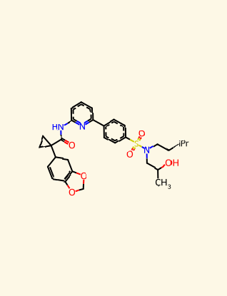 CC(C)CCN(CC(C)O)S(=O)(=O)c1ccc(-c2cccc(NC(=O)C3(C4C=CC5=C(C4)OCO5)CC3)n2)cc1